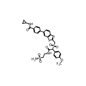 NS(=O)(=O)CCNC(=O)C(c1ccc(OC(F)(F)F)cc1)S(=O)(=O)Cc1nc2ccc(-c3ccc(C(=O)NC4CC4)cc3)cc2s1